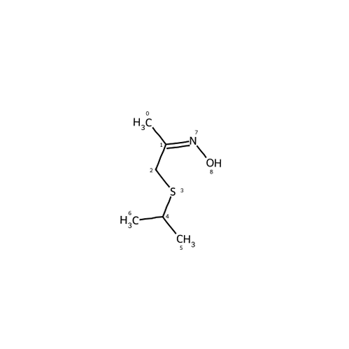 CC(CSC(C)C)=NO